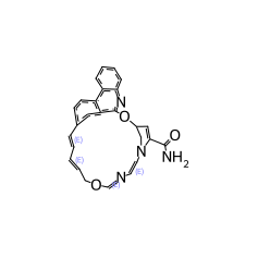 NC(=O)C1=CC2CN1/C=C/N=C/OC/C=C/C=C/c1ccc3c(c1)c(nc1ccccc13)O2